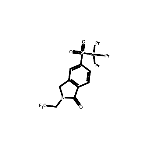 CC(C)[Si](C(C)C)(C(C)C)S(=O)(=O)c1ccc2c(c1)CN(CC(F)(F)F)C2=O